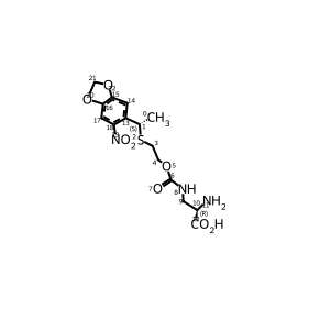 C[C@H](SCCOC(=O)NC[C@@H](N)C(=O)O)c1cc2c(cc1[N+](=O)[O-])OCO2